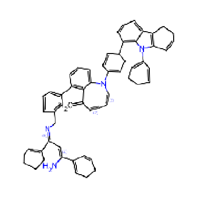 C=C1/C=C\C=C/N(C2=CCC(c3cccc4c5c(n(C6=CCCC=C6)c34)C=CCC5)C=C2)c2cccc(-c3cccc(C/N=C(\C=C(/N)C4=CCCC=C4)C4=CCCCC4)c3)c21